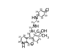 CC(C)(O)c1ccc2c(c1)C(=CCCNCCNc1ccc(Cl)cc1)C1=CC=CNC1=CO2